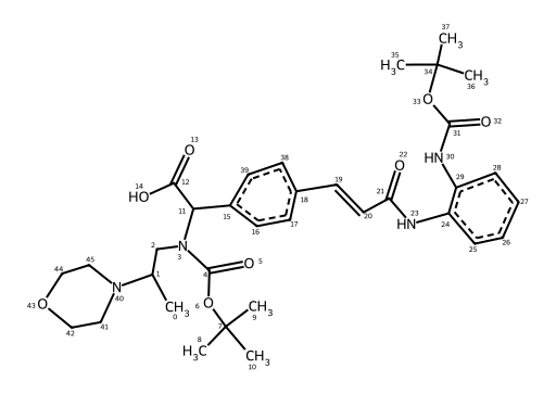 CC(CN(C(=O)OC(C)(C)C)C(C(=O)O)c1ccc(/C=C/C(=O)Nc2ccccc2NC(=O)OC(C)(C)C)cc1)N1CCOCC1